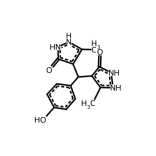 Cc1[nH][nH]c(=O)c1C(c1ccc(O)cc1)c1c(C)[nH][nH]c1=O